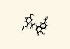 CCC1CN(C(=O)Oc2cc(=O)n(C)c3ccc(C#N)nc23)C(COC)CN1